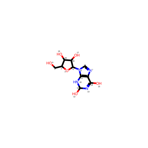 OCC1OC(n2cnc3c2NC(O)N=C3O)C(O)C1O